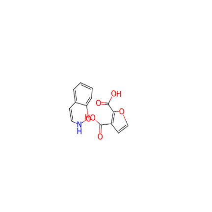 C1=Cc2ccccc2ON1.O=C(O)c1ccoc1C(=O)O